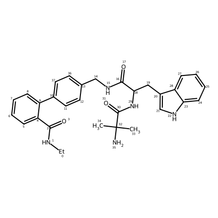 CCNC(=O)c1ccccc1-c1ccc(CNC(=O)C(Cc2c[nH]c3ccccc23)NC(=O)C(C)(C)N)cc1